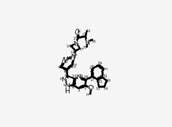 COc1cc2[nH]nc(-c3cnn(C4CN(C(=O)C(C)N(C)C)C4)c3)c2nc1-c1cccc2c1CCC2